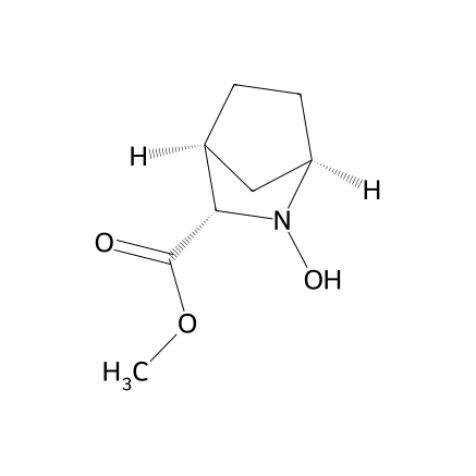 COC(=O)[C@@H]1[C@H]2CC[C@H](C2)N1O